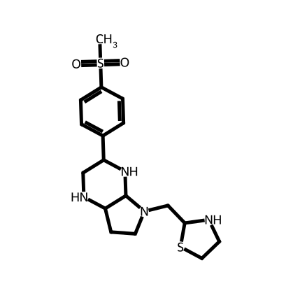 CS(=O)(=O)c1ccc(C2CNC3CCN(CC4NCCS4)C3N2)cc1